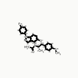 [CH2]C(=O)N[C@@H](C)[C@H](Oc1ccc2c(cnn2-c2ccc(F)cc2)c1)c1ccc(SC)cc1